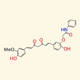 COc1cc(C=CC(=O)CC(=O)C=Cc2ccc(O)c(OCC(=O)Nc3ccccc3)c2)ccc1O